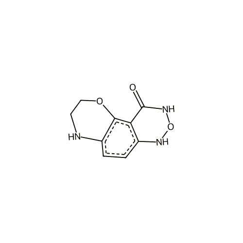 O=C1NONc2ccc3c(c21)OCCN3